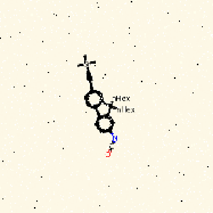 CCCCCCC1(CCCCCC)c2cc(C#C[Si](C)(C)C)ccc2-c2ccc(N=C=O)cc21